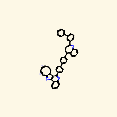 C1=C(c2cccc(-c3ccccc3)c2)N=c2ccccc2=C(c2ccc(-c3ccc(-c4nc5ccccc5c5c4C4CC/C=C\C=C/C4=N5)cc3)cc2)C1